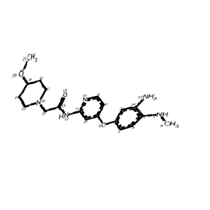 CNc1ccc(Oc2ccnc(NC(=O)CN3CCC(OC)CC3)c2)cc1N